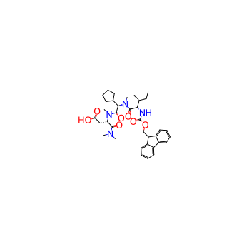 CC[C@H](C)[C@H](NC(=O)OCC1c2ccccc2-c2ccccc21)C(=O)N(C)[C@@H](C(=O)N(C)[C@@H](CC(=O)O)C(=O)N(C)C)C1CCCC1